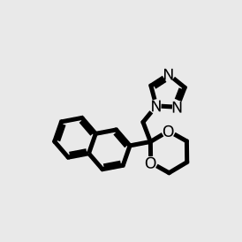 c1ccc2cc(C3(Cn4cncn4)OCCCO3)ccc2c1